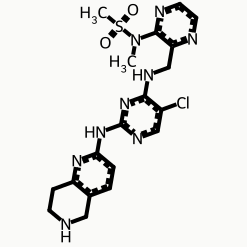 CN(c1nccnc1CNc1nc(Nc2ccc3c(n2)CCNC3)ncc1Cl)S(C)(=O)=O